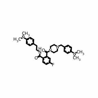 CN(C)c1ccc(CCNC(=O)c2ccc(F)cc2C(=O)N2CCN(Cc3ccc(N(C)C)cc3)CC2)cc1